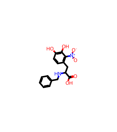 O=C(O)C(Cc1ccc(O)c(O)c1[N+](=O)[O-])NCc1ccccc1